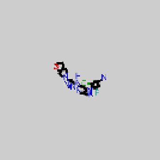 N#Cc1cc(F)c(-n2ncc3cnc(Nc4cc(N5CCC6(CCCOC6)CC5)ncn4)cc32)c(Cl)c1